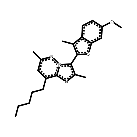 CCCCCc1cc(C)nn2c(-c3sc4cc(OC)ccc4c3C)c(C)nc12